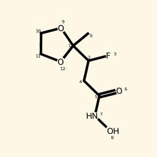 CC1(C(F)CC(=O)NO)OCCO1